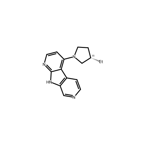 [CH2]C[C@H]1CCN(c2ccnc3[nH]c4cnccc4c23)C1